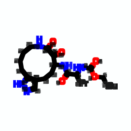 CC(C)C(NC(=O)OCC(C)(C)C)C(=O)NC1CCc2cn[nH]c2CCCCNC(=O)C1=O